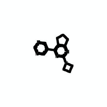 c1ncc(-c2nc(N3CCC3)nc3c2CCC3)cn1